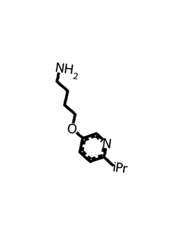 CC(C)c1ccc(OCCCCN)cn1